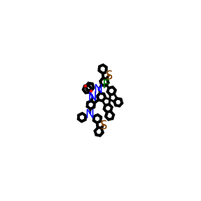 Fc1ccc2c(c1)C1(c3ccccc3-2)c2cc3ccccc3cc2-c2c1cc(N(c1ccccc1)c1ccc3sc4ccccc4c3c1)c1c2c2cc(N(c3ccccc3)c3ccc4sc5ccccc5c4c3)ccc2n1-c1ccccc1